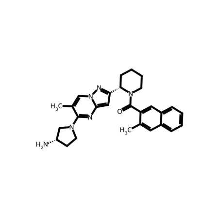 Cc1cc2ccccc2cc1C(=O)N1CCCC[C@H]1c1cc2nc(N3CC[C@H](N)C3)c(C)cn2n1